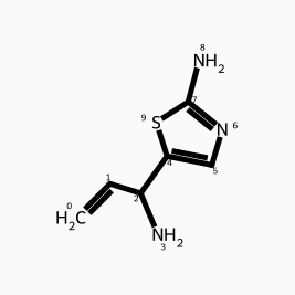 C=CC(N)c1cnc(N)s1